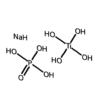 O=P(O)(O)O.[NaH].[OH][Ti]([OH])([OH])[OH]